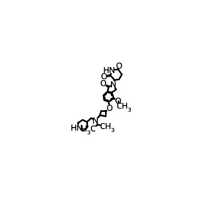 COc1c(OC2CC(N(CC3CCNCC3)C(C)C)C2)ccc2c1CN(C1CCC(=O)NC1=O)C2=O